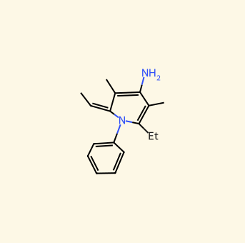 C/C=C1\C(C)=C(N)C(C)=C(CC)N1c1ccccc1